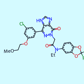 CCN(C(=O)Cn1nc(-c2cc(Cl)cc(OCCOC)c2)c2[nH]cnc2c1=O)c1ccc2c(c1)OC(F)(F)O2